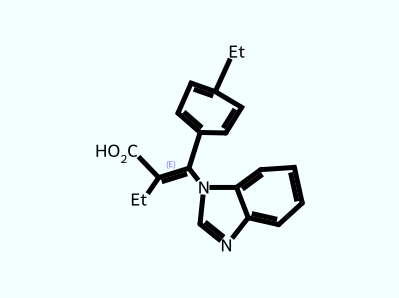 CC/C(C(=O)O)=C(/c1ccc(CC)cc1)n1cnc2ccccc21